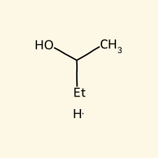 CCC(C)O.[H]